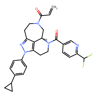 C=CC(=O)N1CCc2nn(-c3ccc(C4CC4)cc3)c3c2[C@@H](C1)N(C(=O)c1ccc(C(F)F)nc1)CC3